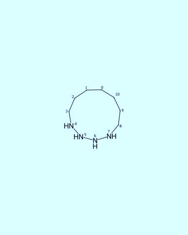 C1CCCNNNNCCC1